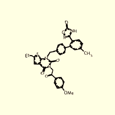 CCc1cc2c(=O)n(CC(=O)c3ccc(OC)cc3)c(=O)n(Cc3ccc(-c4cc(C)ccc4-c4noc(=O)[nH]4)cc3)c2s1